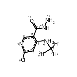 [2H]C([2H])([2H])Nc1cc(Cl)ncc1C(=O)NN